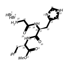 Br.Br.COC(=O)[C@H](CC(C)C)NC(=O)[C@H](Cc1c[nH]cn1)NC(=O)CN